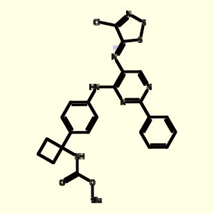 CC(C)(C)OC(=O)NC1(c2ccc(Nc3nc(-c4ccccc4)ncc3/N=c3\ssnc3Cl)cc2)CCC1